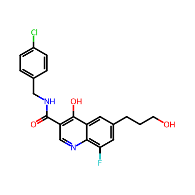 O=C(NCc1ccc(Cl)cc1)c1cnc2c(F)cc(CCCO)cc2c1O